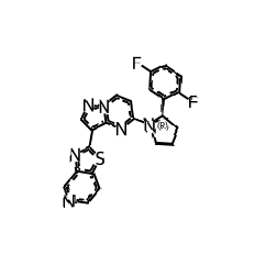 Fc1ccc(F)c([C@H]2CCCN2c2ccn3ncc(-c4nc5cnccc5s4)c3n2)c1